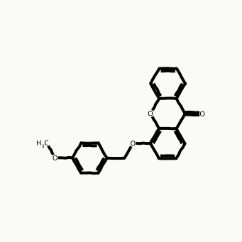 COc1ccc(COc2cccc3c(=O)c4ccccc4oc23)cc1